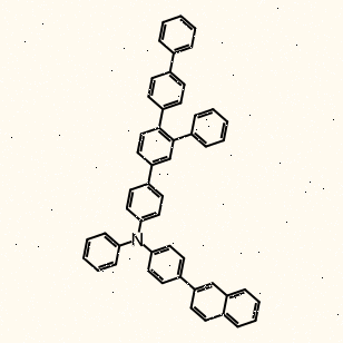 c1ccc(-c2ccc(-c3ccc(-c4ccc(N(c5ccccc5)c5ccc(-c6ccc7ccccc7c6)cc5)cc4)cc3-c3ccccc3)cc2)cc1